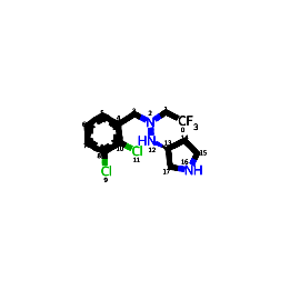 FC(F)(F)CN(Cc1cccc(Cl)c1Cl)N[C@H]1CCNC1